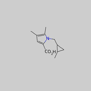 Cc1cc(C(=O)O)n(CC2CC2C)c1C